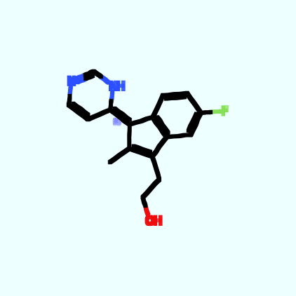 CC1=C(CCO)c2cc(F)ccc2/C1=C1/C=CN=CN1